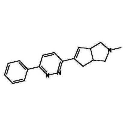 CN1CC2C=C(c3ccc(-c4ccccc4)nn3)CC2C1